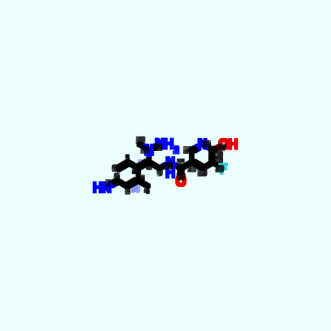 C=CC(/C(C)=C\C=N)=C(/CNC(=O)c1cnc(O)c(F)c1)N(C)N